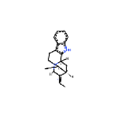 C/C=C1/CN2C3Cc4c([nH]c5ccccc45)[C@@H]2C[C@@H]1[C@H]3C